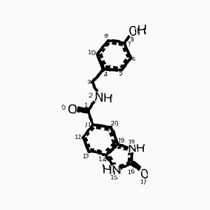 O=C(NCc1ccc(O)cc1)c1ccc2[nH]c(=O)[nH]c2c1